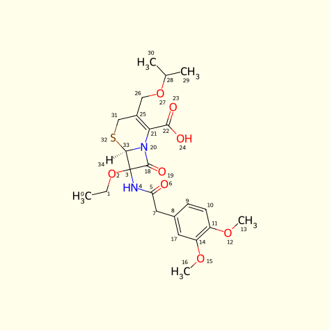 CCOC1(NC(=O)Cc2ccc(OC)c(OC)c2)C(=O)N2C(C(=O)O)=C(COC(C)C)CS[C@@H]21